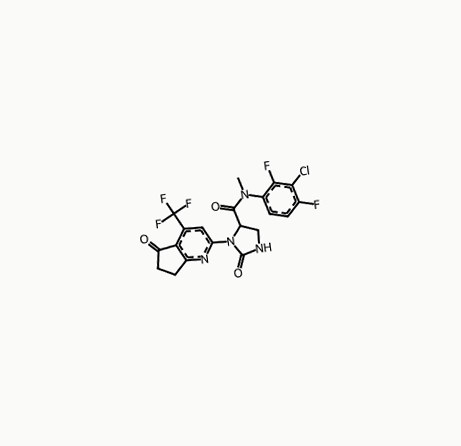 CN(C(=O)C1CNC(=O)N1c1cc(C(F)(F)F)c2c(n1)CCC2=O)c1ccc(F)c(Cl)c1F